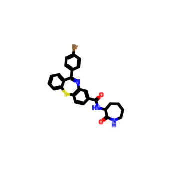 O=C(NC1CCCCNC1=O)c1ccc2c(c1)N=C(c1ccc(Br)cc1)c1ccccc1S2